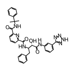 CC(C)(NC(=O)c1cccc(C(=O)NC(Cc2ccccc2)[C@H](O)C(=O)Nc2cccc(-c3nn[nH]n3)c2)n1)c1ccccc1